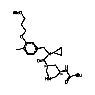 COCCCOc1cc(CN(C(=O)[C@@H]2CNC[C@H](NC(=O)C(C)(C)C)C2)C2CC2)ccc1C